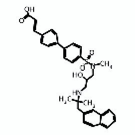 CN(C[C@H](O)CNC(C)(C)Cc1ccc2ccccc2c1)S(=O)(=O)c1ccc(-c2ccc(C=CC(=O)O)cc2)cc1